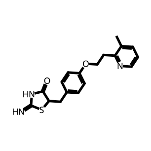 Cc1cccnc1CCOc1ccc(CC2SC(=N)NC2=O)cc1